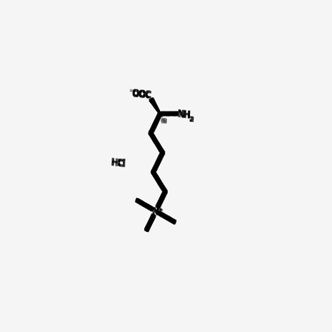 C[N+](C)(C)CCCC[C@H](N)C(=O)[O-].Cl